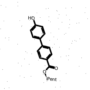 CCC[C@H](C)OC(=O)c1ccc(-c2ccc(O)cc2)cc1